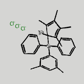 CC1=C(C)[C]([Ti+3])([Si](c2ccccc2)(c2ccccc2)c2cc(C)cc(C)c2)C(C)=C1C.[Cl-].[Cl-].[Cl-]